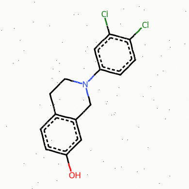 Oc1ccc2c(c1)CN(c1ccc(Cl)c(Cl)c1)CC2